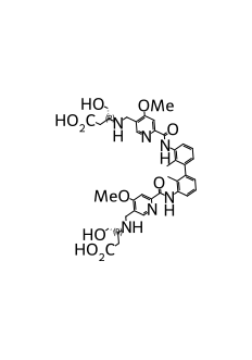 COc1cc(C(=O)Nc2cccc(-c3cccc(NC(=O)c4cc(OC)c(CN[C@@H](CO)CC(=O)O)cn4)c3C)c2C)ncc1CN[C@@H](CO)CC(=O)O